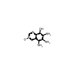 Nc1c(N)c(O)c2nc[n+]([O-])cc2c1N